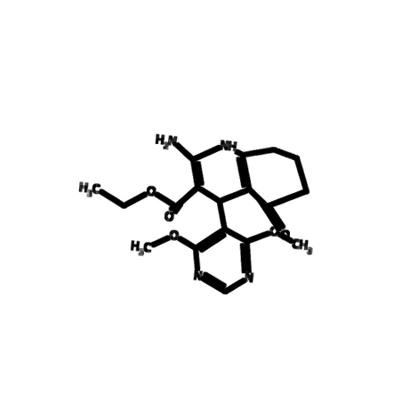 CCOC(=O)C1=C(N)NC2=C(C(=O)CCC2)C1c1c(OC)ncnc1OC